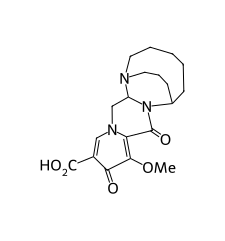 COc1c2n(cc(C(=O)O)c1=O)CC1N3CCCCCC(CCC3)N1C2=O